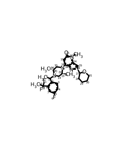 CC(c1ccc(F)cc1C(C)(F)F)N1C[C@H](C)N(c2cc(=O)n(C)c3cn(C4CCCCO4)nc23)C[C@H]1C